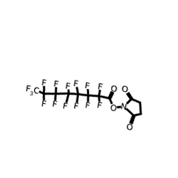 O=C1CCC(=O)N1OC(=O)C(F)(F)C(F)(F)C(F)(F)C(F)(F)C(F)(F)C(F)(F)C(F)(F)F